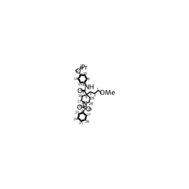 COCCCC1(C(=O)Nc2ccc(OC(C)C)cc2)CCN(S(=O)(=O)c2ccccc2)CC1